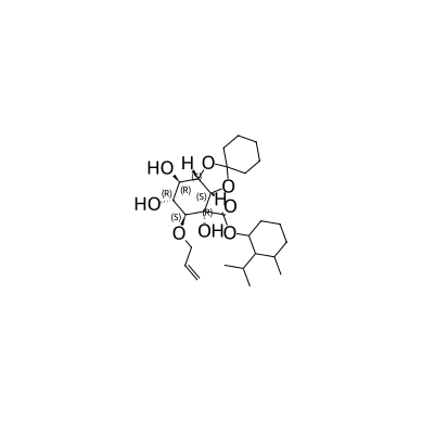 C=CCO[C@H]1[C@H](O)[C@@H](O)[C@@H]2OC3(CCCCC3)O[C@@H]2[C@@]1(O)C(=O)OC1CCCC(C)C1C(C)C